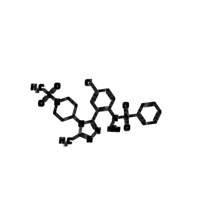 CCCCN(c1ccc(Cl)cc1-c1nnc(C)n1C1CCN(S(C)(=O)=O)CC1)S(=O)(=O)c1ccccc1